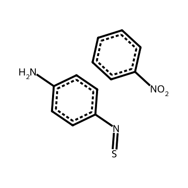 Nc1ccc(N=S)cc1.O=[N+]([O-])c1ccccc1